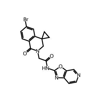 O=C(CN1CC2(CC2)c2cc(Br)ccc2C1=O)Nc1nc2ccncc2o1